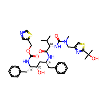 CC(C)[C@H](NC(=O)N(C)Cc1csc(C(C)(C)O)n1)C(=O)N[C@@H](Cc1ccccc1)C[C@H](O)[C@H](Cc1ccccc1)NC(=O)OCc1cncs1